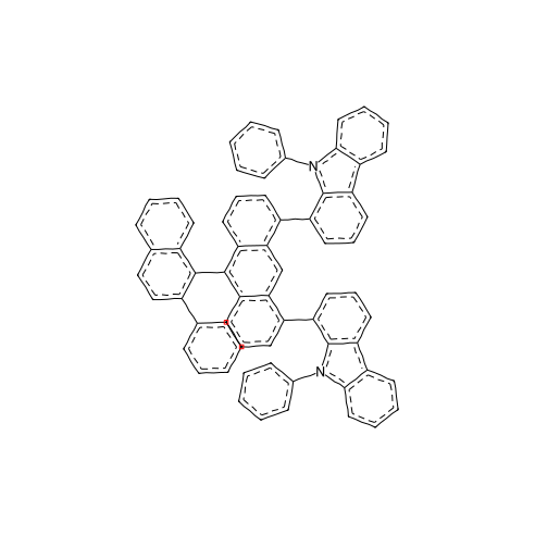 c1ccc(-c2ccc3ccccc3c2-c2c3cccc(-c4cccc5c6ccccc6n(-c6ccccc6)c45)c3cc3c(-c4cccc5c6ccccc6n(-c6ccccc6)c45)cccc23)cc1